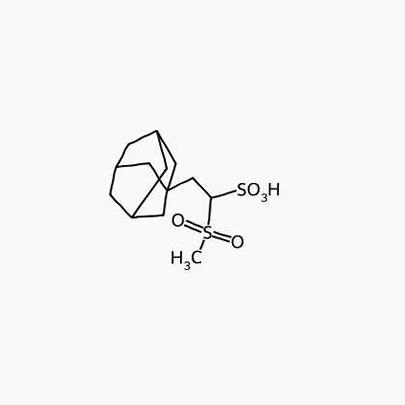 CS(=O)(=O)C(CC12CC3CC(CC(C3)C1)C2)S(=O)(=O)O